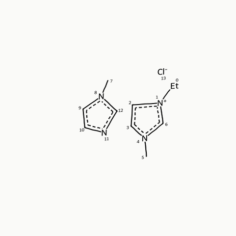 CC[n+]1ccn(C)c1.Cn1ccnc1.[Cl-]